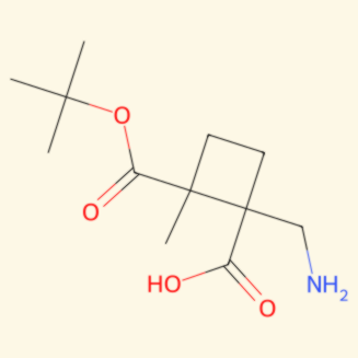 CC(C)(C)OC(=O)C1(C)CCC1(CN)C(=O)O